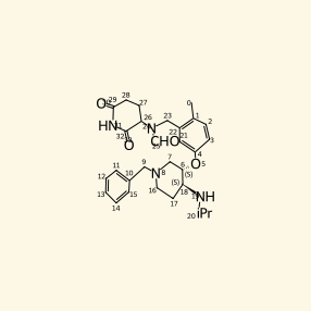 Cc1ccc(O[C@H]2CN(Cc3ccccc3)CC[C@@H]2NC(C)C)cc1CN(C=O)C1CCC(=O)NC1=O